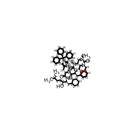 CC(C)CC[C@H](O)[C@H](CC1CCCCC1)NC(=O)[C@H](Cc1cn(C(c2ccccc2)(c2ccccc2)c2ccccc2)cn1)N(C)C(=O)[C@H](Cc1ccccc1)OC(=O)N(C)CCN(C)C(=O)N1CCOCC1